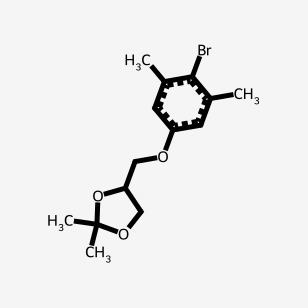 Cc1cc(OCC2COC(C)(C)O2)cc(C)c1Br